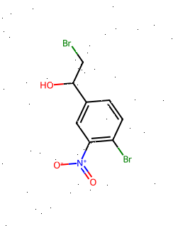 O=[N+]([O-])c1cc(C(O)CBr)ccc1Br